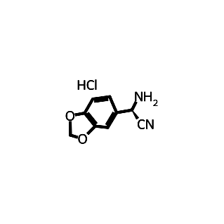 Cl.N#C[C@H](N)c1ccc2c(c1)OCO2